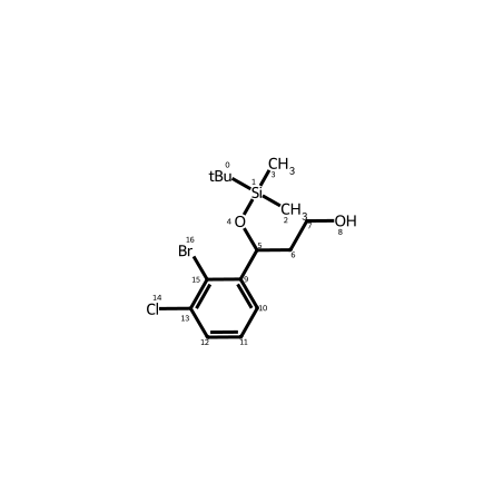 CC(C)(C)[Si](C)(C)OC(CCO)c1cccc(Cl)c1Br